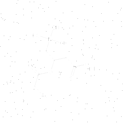 CC(=O)CC(=O)OC(CC([O-])=S)C[N+](C)(C)C.Cl